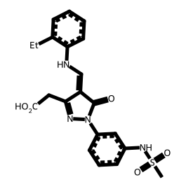 CCc1ccccc1NC=C1C(=O)N(c2cccc(NS(C)(=O)=O)c2)N=C1CC(=O)O